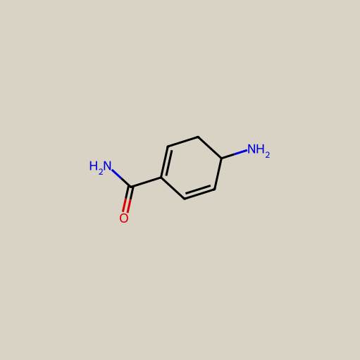 NC(=O)C1=CCC(N)C=C1